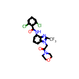 O=C(Nc1cccc2c1nc(C(F)(F)F)n2CC(=O)N1CCOCC1)c1c(Cl)cccc1Cl